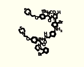 CC(C)(C)N(C(=O)O)[C@H](C(=O)N1CCCN1c1ccccc1Br)c1ccc(OCCN2CCSCC2)cc1.Nc1ccc(CNC(=O)N[C@H](C(=O)N2CCCN2c2ccccc2Br)c2ccc(OCCN3CCSCC3)cc2)cc1